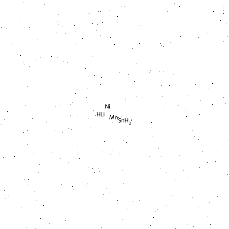 [LiH].[Mn].[Ni].[SnH2]